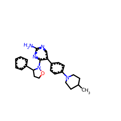 CC1CCN(c2ccc(-c3cnc(N)nc3N3OCCC3c3ccccc3)cc2)CC1